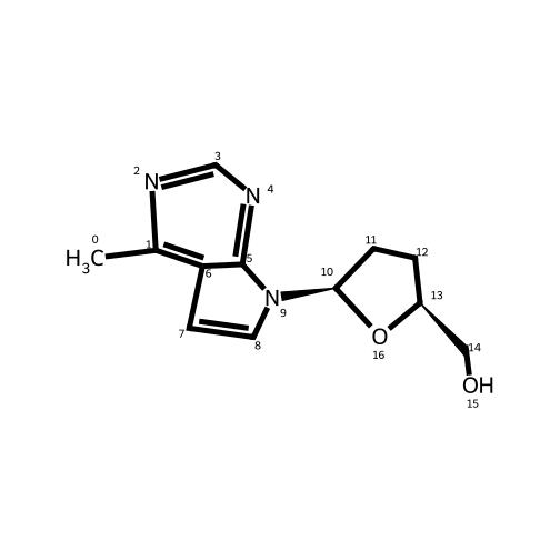 Cc1ncnc2c1ccn2[C@H]1CC[C@@H](CO)O1